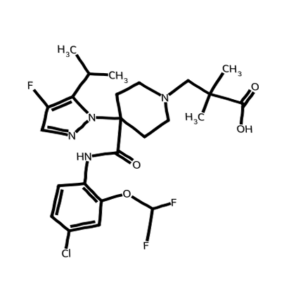 CC(C)c1c(F)cnn1C1(C(=O)Nc2ccc(Cl)cc2OC(F)F)CCN(CC(C)(C)C(=O)O)CC1